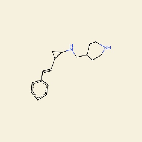 C(=CC1CC1NCC1CCNCC1)c1ccccc1